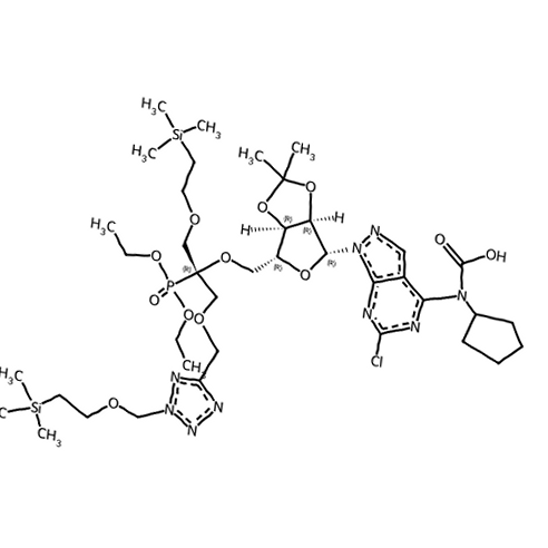 CCOP(=O)(OCC)[C@@](COCC[Si](C)(C)C)(COCc1nnn(COCC[Si](C)(C)C)n1)OC[C@H]1O[C@@H](n2ncc3c(N(C(=O)O)C4CCCC4)nc(Cl)nc32)[C@@H]2OC(C)(C)O[C@@H]21